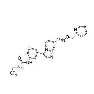 O=C(NCC(F)(F)F)Nc1cccc(-c2cnc3cc(C=NOCc4ccccn4)ccn23)c1